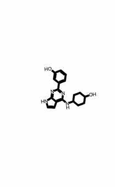 Oc1cccc(-c2nc(NC3CCC(O)CC3)c3cc[nH]c3n2)c1